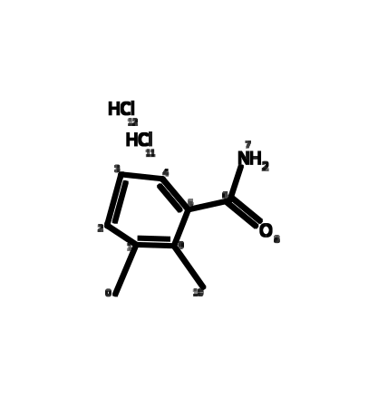 Cc1cccc(C(N)=O)c1C.Cl.Cl